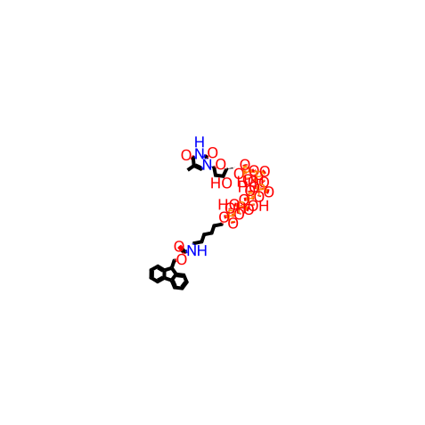 Cc1cn([C@H]2C[C@@H](O)[C@@H](COP(=O)(O)OP(=O)(O)OP(=O)(O)OP(=O)(O)OP(=O)(O)OP(=O)(O)OCCCCCCNC(=O)OCC3c4ccccc4-c4ccccc43)O2)c(=O)[nH]c1=O